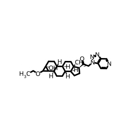 CCOC1C2[C@@H]3CC[C@@H]4[C@H](CC[C@]5(C)[C@@H](C(=O)Cn6nnc7cnccc76)CC[C@@H]45)[C@H]3CC[C@]12O